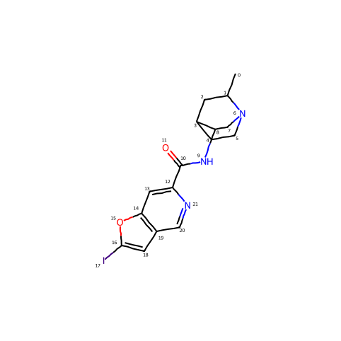 CC1CC2CCN1CC2NC(=O)c1cc2oc(I)cc2cn1